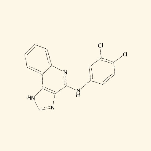 Clc1ccc(Nc2nc3ccccc3c3[nH]cnc23)cc1Cl